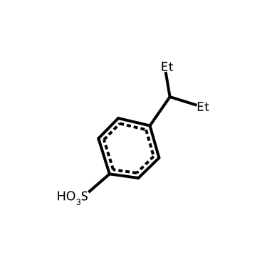 CCC(CC)c1ccc(S(=O)(=O)O)cc1